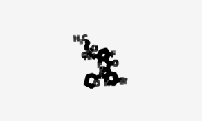 CCCS(=O)(=O)Nc1ccc(F)c(C(=O)c2nn(C3CCCCO3)c3ncc(Br)cc23)c1F